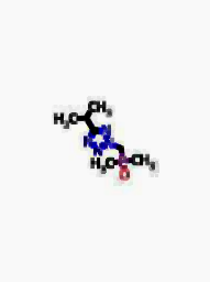 CC(C)c1nnn(CP(C)(C)=O)n1